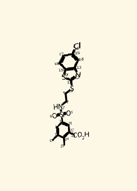 Cc1cc(S(=O)(=O)NCCSc2nc3cc(Cl)ccc3s2)cc(C(=O)O)c1C